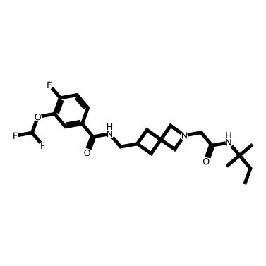 CCC(C)(C)NC(=O)CN1CC2(CC(CNC(=O)c3ccc(F)c(OC(F)F)c3)C2)C1